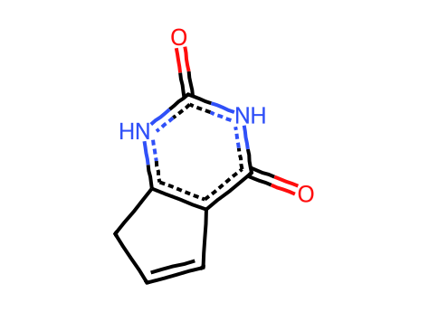 O=c1[nH]c2c(c(=O)[nH]1)C=CC2